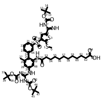 CSc1sc(C(=N)NC(=O)OC(C)(C)C)cc1S(=O)(=O)c1cccc(-c2c(C)cc(NC(=NC(=O)OC(C)(C)C)NC(=O)OC(C)(C)C)cc2NC(=O)CCCCCCCCCCC(=O)O)c1